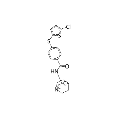 O=C(NC1CC2CCN(CC2)C1)c1ccc(Sc2ccc(Cl)s2)cc1